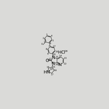 Cc1ccccc1-c1ccc(-n2c(=O)n([C@H]3CCNC3)c3ncccc32)cc1.Cl